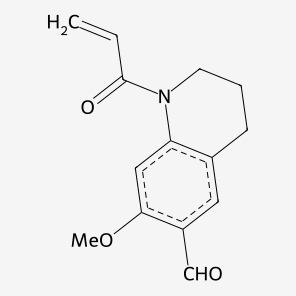 C=CC(=O)N1CCCc2cc(C=O)c(OC)cc21